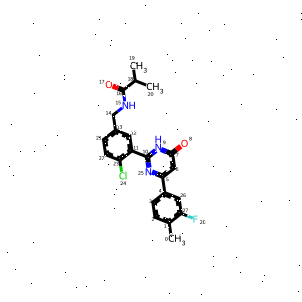 Cc1ccc(-c2cc(=O)[nH]c(-c3cc(CNC(=O)C(C)C)ccc3Cl)n2)cc1F